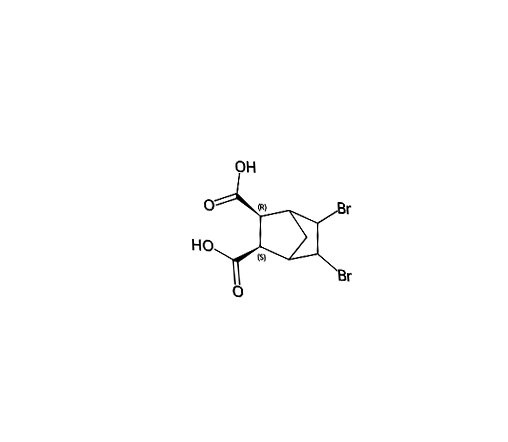 O=C(O)[C@@H]1C2CC(C(Br)C2Br)[C@@H]1C(=O)O